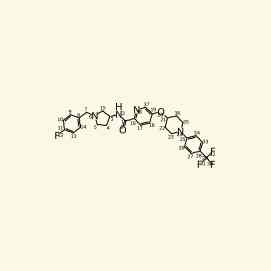 O=C(N[C@H]1CCN(Cc2ccc(F)cc2)C1)c1ccc(OC2CCN(c3ccc(C(F)(F)F)cc3)CC2)cn1